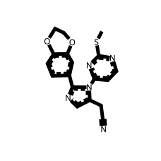 CSc1nccc(-n2c(CC#N)cnc2-c2ccc3c(c2)OCCO3)n1